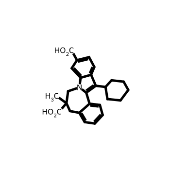 CC1(C(=O)O)Cc2ccccc2-c2c(C3CCCCC3)c3ccc(C(=O)O)cc3n2C1